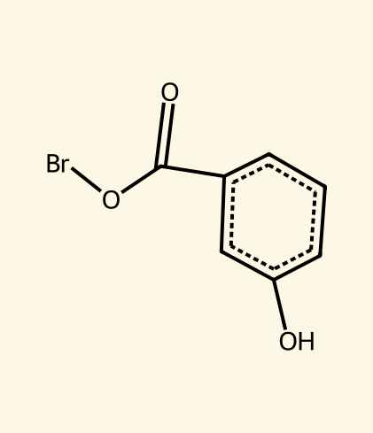 O=C(OBr)c1cccc(O)c1